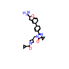 NCC1CC2=CC(C3C=CC(C4=NC5(CC5)C(=O)N4CC4CN(C(=O)C5CC5)C4)=CC3)CC=C2O1